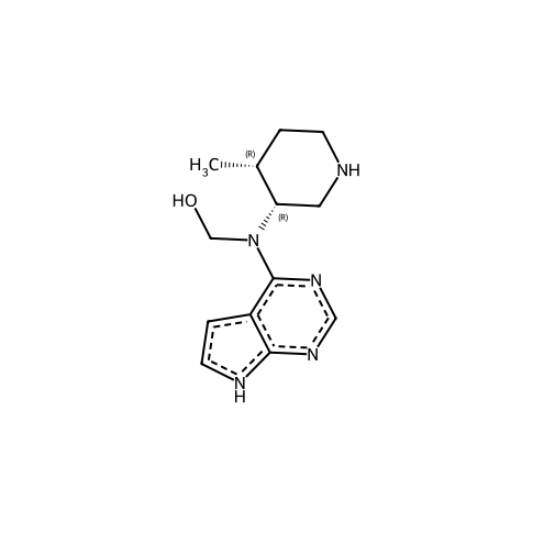 C[C@@H]1CCNC[C@@H]1N(CO)c1ncnc2[nH]ccc12